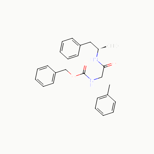 O=C[C@H](Cc1ccccc1)NC(=O)[C@H](Cc1ccccc1)NC(=O)OCc1ccccc1